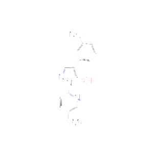 CSc1ccc(-n2ncc(-c3cccc(C#N)c3)c2O)nc1